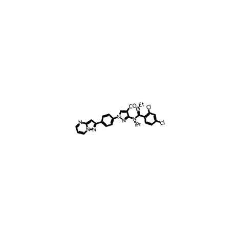 CCOC(=O)c1cn(-c2ccc(-c3cc4ncccn4n3)cc2)nc1N(C(=O)c1ccc(Cl)cc1Cl)C(C)C